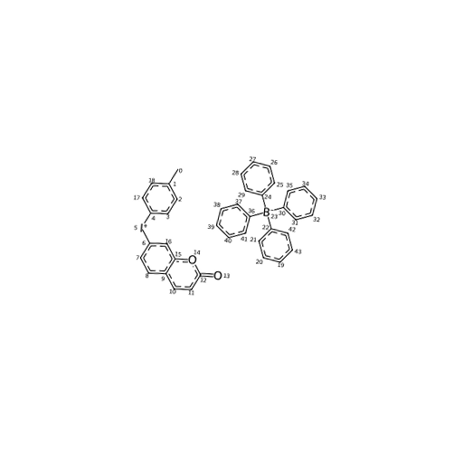 Cc1ccc([I+]c2ccc3ccc(=O)oc3c2)cc1.c1ccc([B-](c2ccccc2)(c2ccccc2)c2ccccc2)cc1